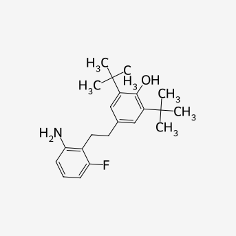 CC(C)(C)c1cc(CCc2c(N)cccc2F)cc(C(C)(C)C)c1O